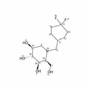 OC[C@H]1[C@@H](O)[C@H](O)[C@@H](O)CN1CC1CCC(F)(F)CC1